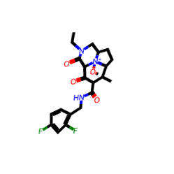 CCN1CC2CCC3C(C)C(C(=O)NCc4ccc(F)cc4F)C(=O)C(C1=O)[N+]23OC